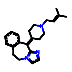 CC(C)=CCN1CCC(=C2c3ccccc3CCn3ccnc32)CC1